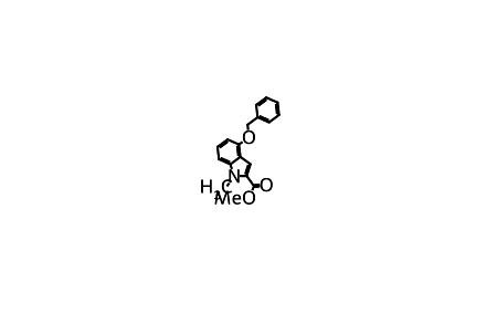 COC(=O)c1cc2c(OCc3ccccc3)cccc2n1C